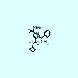 CNC(=O)c1cc(C(=O)NC2CCC2)n([C@@H](C)c2ccccc2)n1